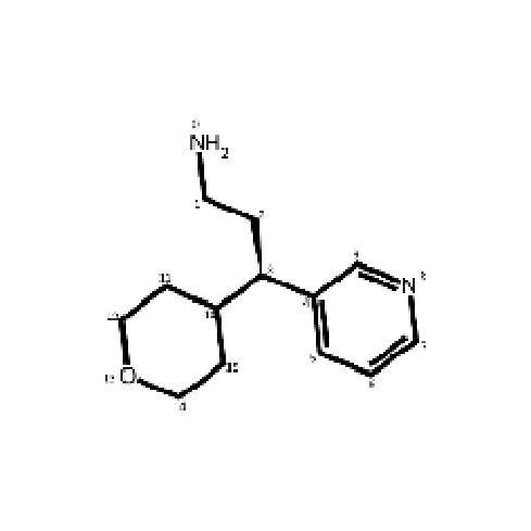 NCC[C@@H](c1cccnc1)C1CCOCC1